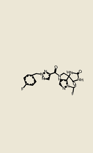 O=C1NC(=O)C(CNC(=O)c2cnn(Cc3ccc(F)cc3)n2)(c2ccnn2C(F)F)N1